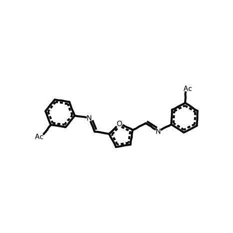 CC(=O)c1cccc(N=Cc2ccc(C=Nc3cccc(C(C)=O)c3)o2)c1